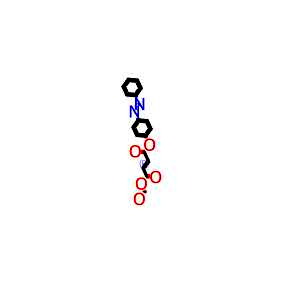 O=COC(=O)/C=C/C(=O)Oc1ccc(N=Nc2ccccc2)cc1